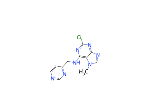 Cn1cnc2nc(Cl)nc(NCc3ccncn3)c21